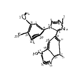 COc1cc(-n2cnnc2-c2cc(C)c3nc[nH]c3c2)ccc1F